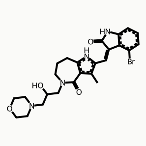 Cc1c(C=C2C(=O)Nc3cccc(Br)c32)[nH]c2c1C(=O)N(CC(O)CN1CCOCC1)CCC2